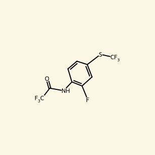 O=C(Nc1ccc(SC(F)(F)F)cc1F)C(F)(F)F